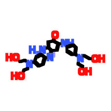 NC1=CC(=O)C(Nc2ccc(N(CCO)CCO)cc2)=C/C1=N/c1ccc(N(CCO)CCO)cc1